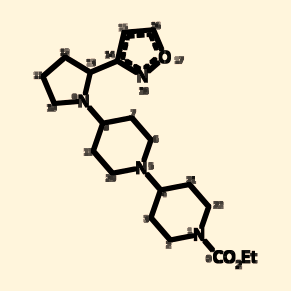 CCOC(=O)N1CCC(N2CCC(N3CCCC3c3ccon3)CC2)CC1